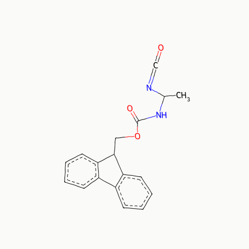 CC(N=C=O)NC(=O)OCC1c2ccccc2-c2ccccc21